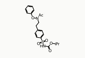 CC(=O)N(CCc1ccc(S(=O)(=O)NC(=O)OC(C)C)cc1)Oc1ccccc1